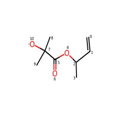 C=CC(C)OC(=O)C(C)(C)[O]